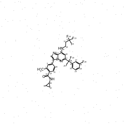 Cc1cc(-c2cnc3c(NCCC(F)(F)I)cc(C(F)(I)c4cccc(F)c4)nn23)ccc1C(=O)NC1CC1